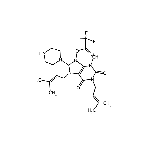 CC(C)=CCN1c2c(n(C)c(=O)n(CC=C(C)C)c2=O)N(OC(=O)C(F)(F)F)C1N1CCNCC1